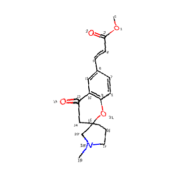 COC(=O)/C=C/c1ccc2c(c1)C(=O)CC1(CCN(C)C1)O2